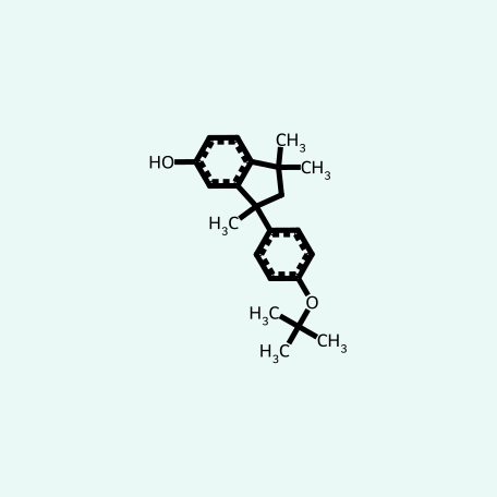 CC(C)(C)Oc1ccc(C2(C)CC(C)(C)c3ccc(O)cc32)cc1